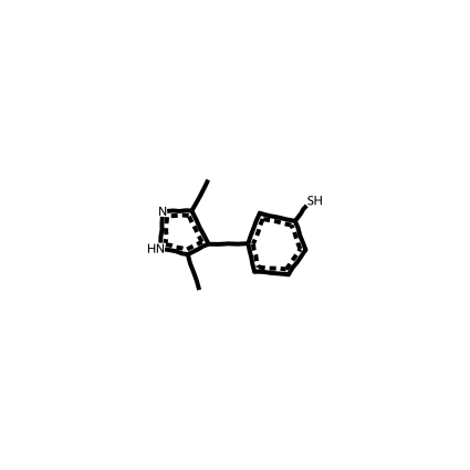 Cc1n[nH]c(C)c1-c1cccc(S)c1